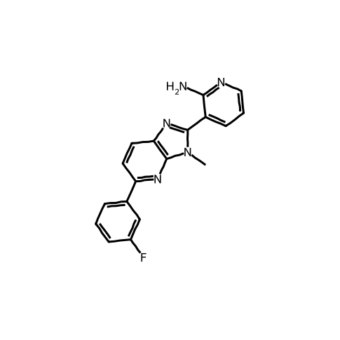 Cn1c(-c2cccnc2N)nc2ccc(-c3cccc(F)c3)nc21